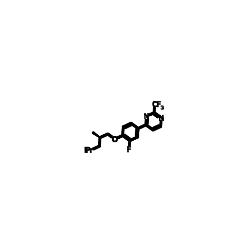 CC(C)C[C@@H](C)COc1ccc(-c2ccnc(C(F)(F)F)n2)cc1F